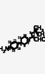 CN(C)CC(C=O)N1CCC(c2ccc(N)cc2)CC1